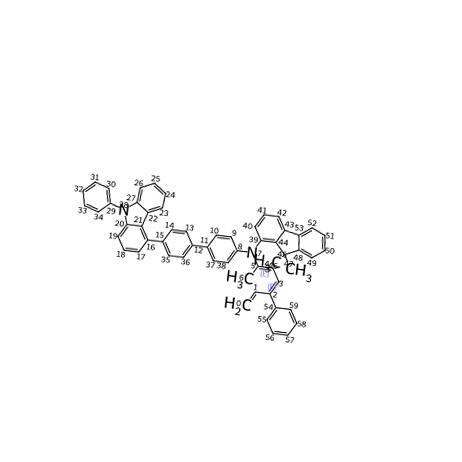 C=C/C(=C\C=C(/C)N(c1ccc(-c2ccc(-c3cccc4c3c3ccccc3n4-c3ccccc3)cc2)cc1)c1cccc2c1C(C)(C)c1ccccc1-2)c1ccccc1